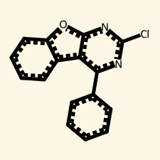 Clc1nc(-c2ccccc2)c2c(n1)oc1ccccc12